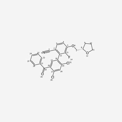 N#Cc1ccc(OC[C@@H]2CCCO2)c(F)c1-c1cc(C(=O)c2ccccc2)c(Cl)cc1Cl